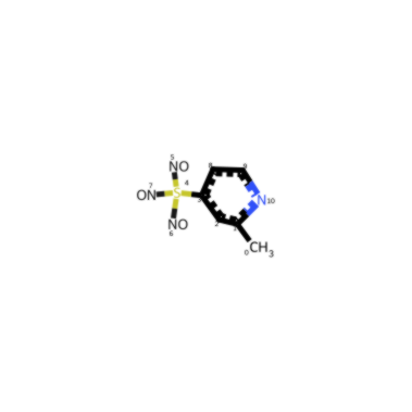 Cc1cc(S(N=O)(N=O)N=O)ccn1